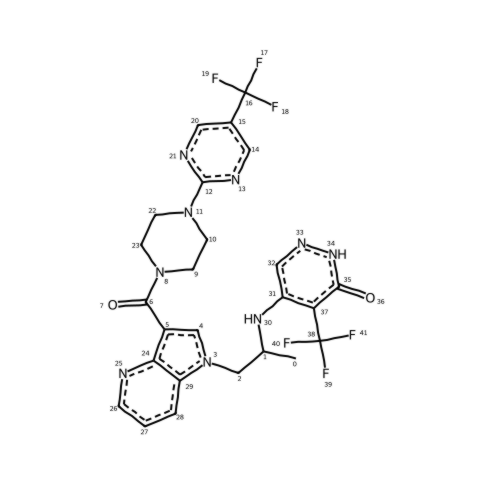 CC(Cn1cc(C(=O)N2CCN(c3ncc(C(F)(F)F)cn3)CC2)c2ncccc21)Nc1cn[nH]c(=O)c1C(F)(F)F